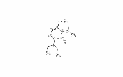 CCC(CC)c1nnc(SC)n(NC)c1=O